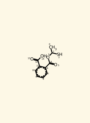 CC(S)OC(=O)c1ccccc1C(=O)O